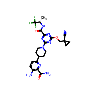 C[C@H](NC(=O)c1nc(OCC2(C#N)CC2)nc(N2CCC(c3ccc(N)c(C(N)=O)n3)CC2)n1)C(F)(F)F